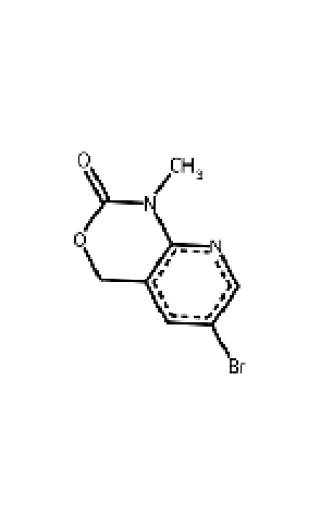 CN1C(=O)OCc2cc(Br)cnc21